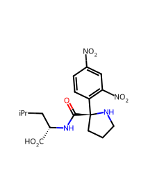 CC(C)C[C@H](NC(=O)[C@]1(c2ccc([N+](=O)[O-])cc2[N+](=O)[O-])CCCN1)C(=O)O